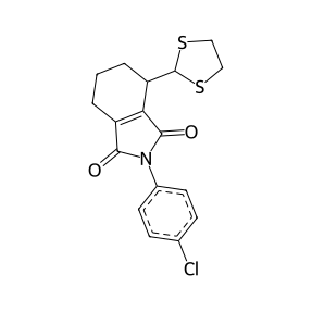 O=C1C2=C(C(=O)N1c1ccc(Cl)cc1)C(C1SCCS1)CCC2